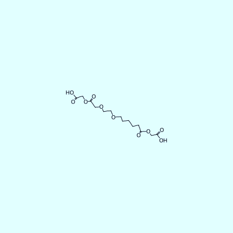 O=C(O)COC(=O)CCCCCOCCOCC(=O)OCC(=O)O